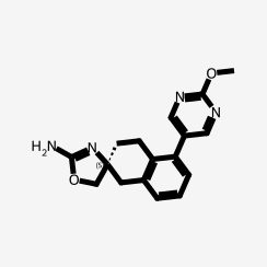 COc1ncc(-c2cccc3c2CC[C@@]2(COC(N)=N2)C3)cn1